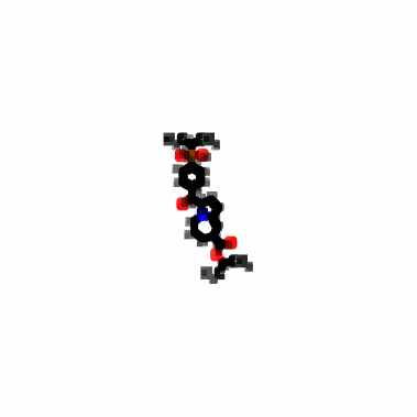 CC(C)OC(=O)C1C=C2C=CC(C(=O)c3ccc(S(=O)(=O)C(C)C)cc3)N2CCC1